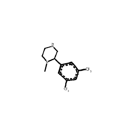 CN1CCNCC1c1cc(C(F)(F)F)cc(C(F)(F)F)c1